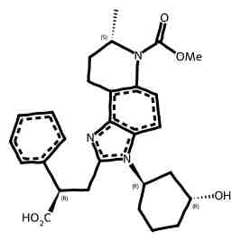 COC(=O)N1c2ccc3c(nc(C[C@@H](C(=O)O)c4ccccc4)n3[C@@H]3CCC[C@@H](O)C3)c2CC[C@@H]1C